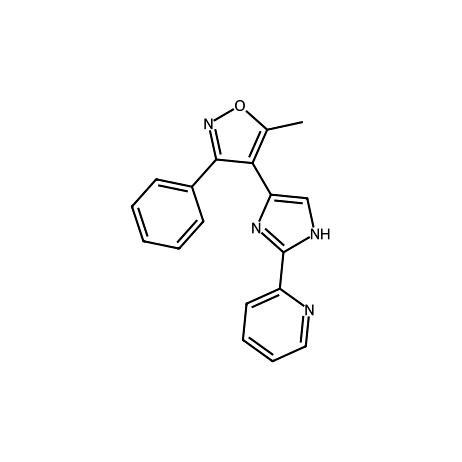 Cc1onc(-c2ccccc2)c1-c1c[nH]c(-c2ccccn2)n1